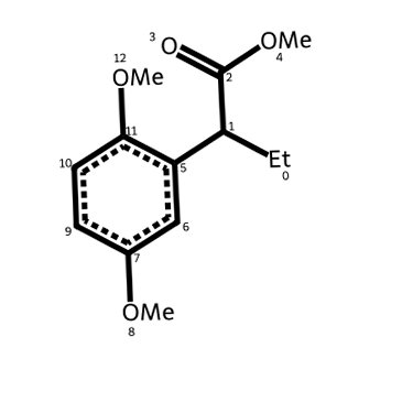 CCC(C(=O)OC)c1cc(OC)ccc1OC